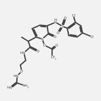 CC(C(=O)NCCONC(=N)N)c1ccc(NS(=O)(=O)c2ccc(Cl)cc2Cl)c(=O)n1OC(=O)C(F)(F)F